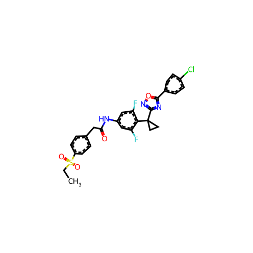 CCS(=O)(=O)c1ccc(CC(=O)Nc2cc(F)c(C3(c4noc(-c5ccc(Cl)cc5)n4)CC3)c(F)c2)cc1